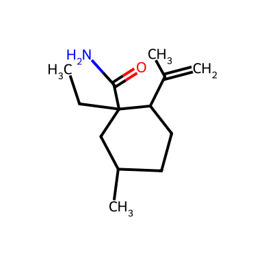 C=C(C)C1CCC(C)CC1(CC)C(N)=O